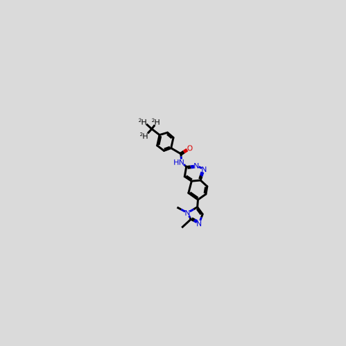 [2H]C([2H])([2H])c1ccc(C(=O)Nc2cc3cc(-c4cnc(C)n4C)ccc3nn2)cc1